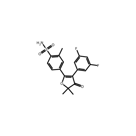 Cc1cc(C2=C(c3cc(F)cc(F)c3)C(=O)C(C)(C)O2)ccc1S(N)(=O)=O